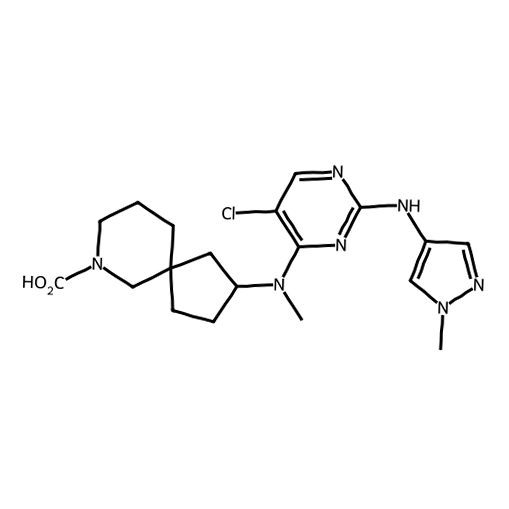 CN(c1nc(Nc2cnn(C)c2)ncc1Cl)C1CCC2(CCCN(C(=O)O)C2)C1